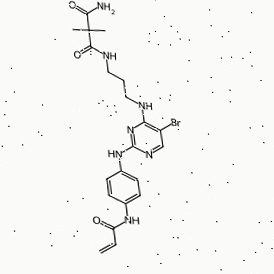 C=CC(=O)Nc1ccc(Nc2ncc(Br)c(NCCCNC(=O)C(C)(C)C(N)=O)n2)cc1